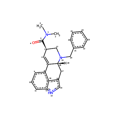 CN(C)C(=O)[C@@H]1C=C2c3cccc4[nH]cc(c34)C[C@H]2N(Cc2ccccc2)C1